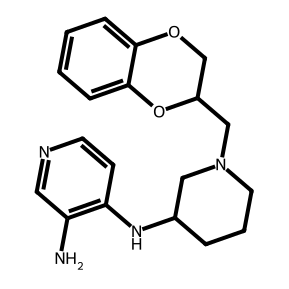 Nc1cnccc1NC1CCCN(CC2COc3ccccc3O2)C1